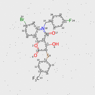 O=c1oc2c(c(O)c1Sc1ccc(C(F)(F)F)cc1)c(=O)n(Cc1ccc(F)cc1)c1cc(Br)ccc21